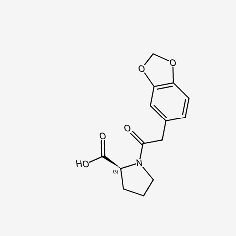 O=C(O)[C@@H]1CCCN1C(=O)Cc1ccc2c(c1)OCO2